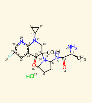 C[C@H](N)C(=O)NC1CCCN1C1(C(=O)O)CN(C2CC2)c2ncc(F)cc2C1=O.Cl